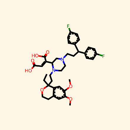 CCC1(CCN2CCN(CCC(c3ccc(F)cc3)c3ccc(F)cc3)CC2/C(=C/C(=O)O)C(=O)O)OCCc2cc(OC)c(OC)cc21